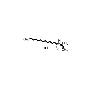 C=CC(C)(C)NCCCCCCCCCCCCCCCCCCCCCC.Cl